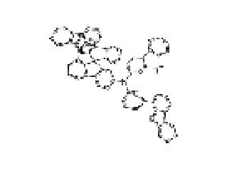 CC1(C)c2ccccc2-c2ccc(N(c3cccc(-c4cccc5c4oc4ccccc45)c3)c3ccc4c(c3)C3(c5ccccc5-c5ccccc53)c3c-4cccc3-n3c4ccccc4c4ccccc43)cc21